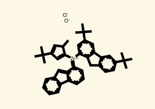 CC1C=C(C(C)(C)C)C=[C]1[Zr+2]([c]1cc(C(C)(C)C)cc2c1Cc1ccc(C(C)(C)C)cc1-2)=[c]1cccc2c1=Cc1ccccc1-2.[Cl-].[Cl-]